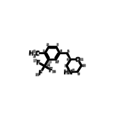 Cc1ccc(C[C@@H]2CNCCO2)cc1C(F)(F)F